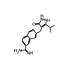 CC(C)c1[nH][nH]c(=O)c1Cc1ccc2ccc(C(=N)N)cc2c1